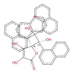 O=C1O[C@](c2cccc3ccccc23)([C@](O)(c2cccc3ccccc23)C(O)(c2cccc3ccccc23)c2cccc3ccccc23)C(O)=C1O